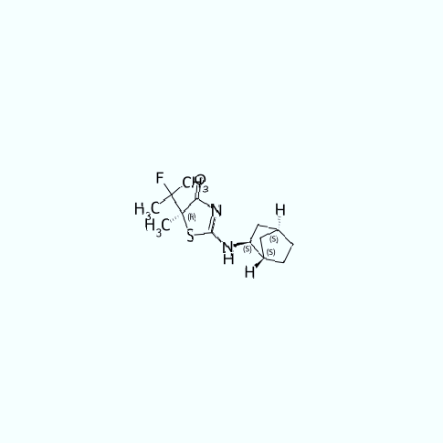 CC(C)(F)[C@]1(C)SC(N[C@H]2C[C@H]3CC[C@H]2C3)=NC1=O